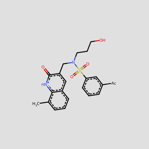 CC(=O)c1cccc(S(=O)(=O)N(CCCO)Cc2cc3cccc(C)c3[nH]c2=O)c1